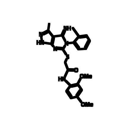 COc1ccc(NC(=O)CSc2nc3[nH]nc(C)c3c(=N)n2-c2ccccc2C)c(OC)c1